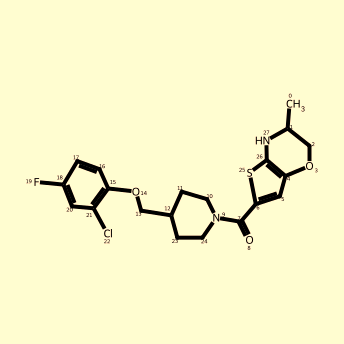 CC1COc2cc(C(=O)N3CCC(COc4ccc(F)cc4Cl)CC3)sc2N1